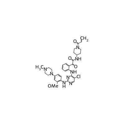 C=CC(=O)N1CCC(NC(=O)C(=O)c2ccccc2Nc2nc(Nc3ccc(N4CCN(C)CC4)cc3OC)ncc2Cl)CC1